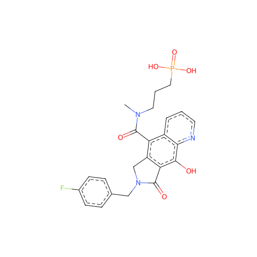 CN(CCCP(=O)(O)O)C(=O)c1c2c(c(O)c3ncccc13)C(=O)N(Cc1ccc(F)cc1)C2